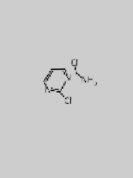 Clc1ncccn1.NCCl